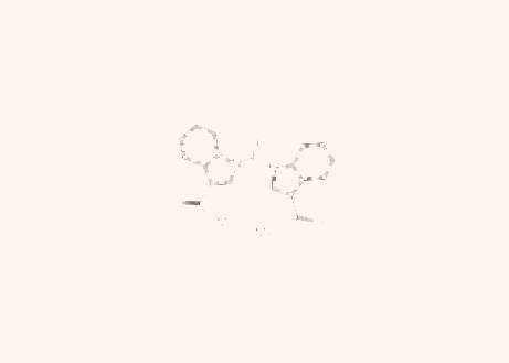 COC(=O)c1cn(P(Cl)n2cc(C(=O)OC)c3ccccc32)c2ccccc12